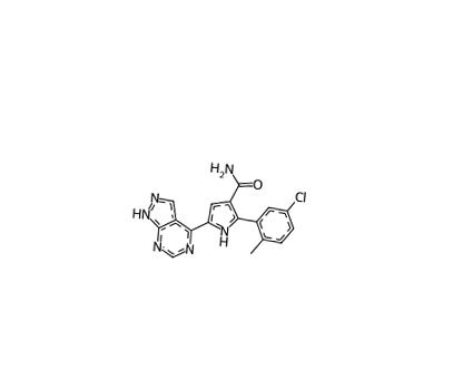 Cc1ccc(Cl)cc1-c1[nH]c(-c2ncnc3[nH]ncc23)cc1C(N)=O